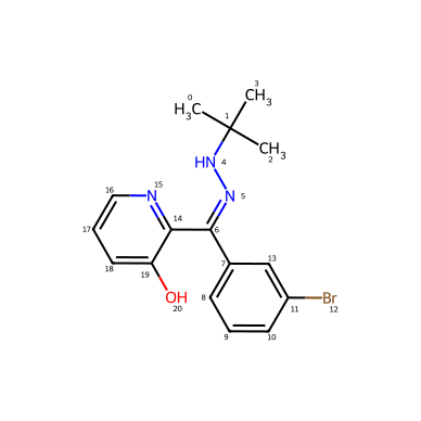 CC(C)(C)N/N=C(/c1cccc(Br)c1)c1ncccc1O